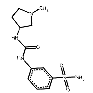 CN1CC[C@@H](NC(=O)Nc2cccc(S(N)(=O)=O)c2)C1